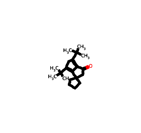 CC(C)(C)C1=C2C(=O)CC3(CCCC3)C2=C(C(C)(C)C)C1